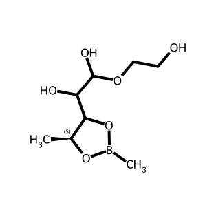 CB1OC(C(O)C(O)OCCO)[C@H](C)O1